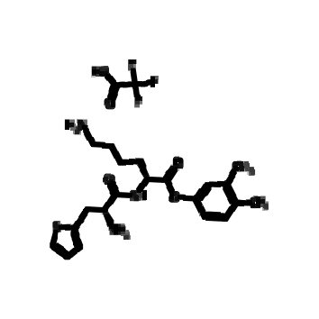 Cc1ccc(OC(=O)[C@H](CCCCN)NC(=O)[C@@H](N)Cc2cccs2)cc1C.O=C(O)C(F)(F)F